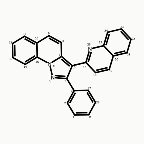 c1ccc(-c2nn3c(ccc4ccccc43)c2-c2ccc3ccccc3n2)cc1